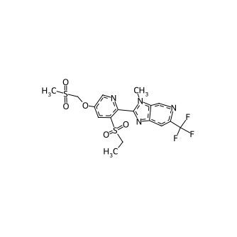 CCS(=O)(=O)c1cc(OCS(C)(=O)=O)cnc1-c1nc2cc(C(F)(F)F)ncc2n1C